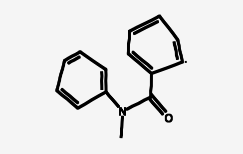 CN(C(=O)c1[c]cccc1)c1ccccc1